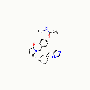 CNC(C)=O.O=C1CC[C@@H](C[C@H]2CCC[C@H](Cc3cnc[nH]3)C2)N1Cc1ccccc1